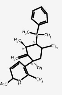 C=C1[C@@H](C)[C@@H](S(C)(C)c2ccccc2)C(C)C[C@@]1(C#N)C1=C(C)NC(OC)C=C1